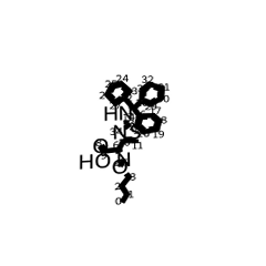 CCCCO/N=C(\C(=O)O)c1csc(NC(c2ccccc2)(c2ccccc2)c2ccccc2)n1